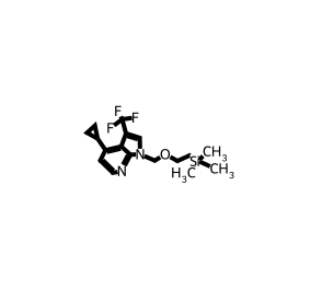 C[Si](C)(C)CCOCn1cc(C(F)(F)F)c2c(C3CC3)ccnc21